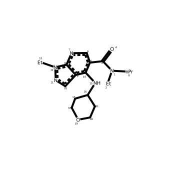 CCCN(CC)C(=O)c1cnc2c(cnn2CC)c1NC1CCOCC1